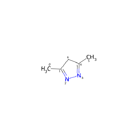 CC1=NN=C(C)C1